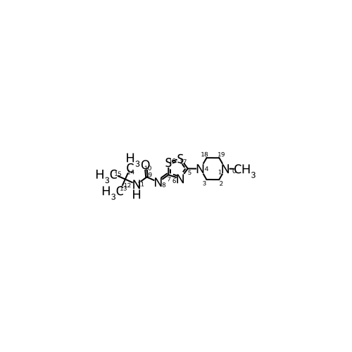 CN1CCN(c2nc(=NC(=O)NC(C)(C)C)ss2)CC1